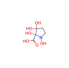 O=C(O)C1(O)N(O)CCC1(O)O